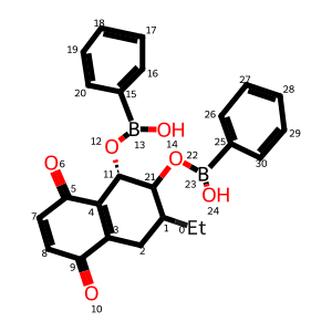 CCC1CC2=C(C(=O)C=CC2=O)[C@H](OB(O)c2ccccc2)C1OB(O)c1ccccc1